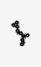 c1ccc(-c2nc(-c3ccc4c(c3)oc3ccc(-c5ccc6c7ccccc7c7ccccc7c6c5)cc34)nc(-c3ccc4c(c3)sc3ccccc34)n2)cc1